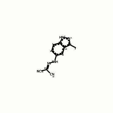 Cc1n[nH]c2ccc(NN=C(C#N)C#N)cc12